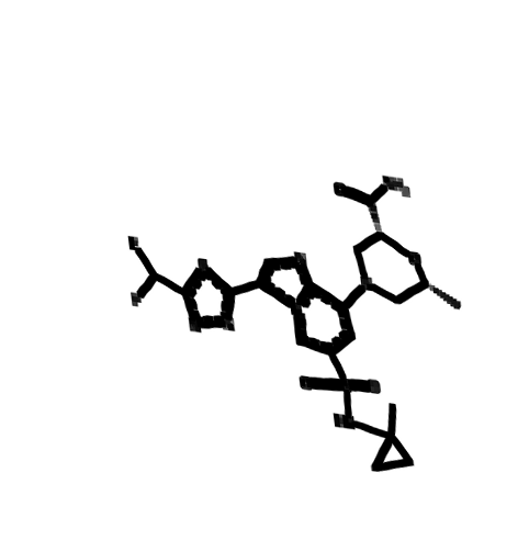 C[C@@H]1CN(c2cc(S(=O)(=O)NC3(C)CC3)cn3c(-c4nnc(C(F)F)s4)cnc23)C[C@H](C(N)=O)O1